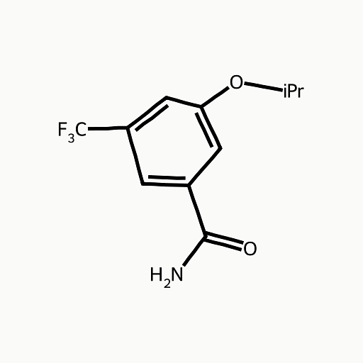 CC(C)Oc1cc(C(N)=O)cc(C(F)(F)F)c1